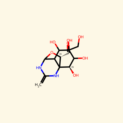 C=C1NC2O[C@H](C=O)C3(N1)C2C(O)C(O)(CO)C(O)[C@H]3O